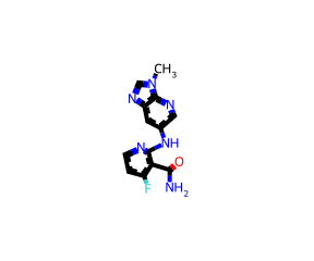 Cn1cnc2cc(Nc3nccc(F)c3C(N)=O)cnc21